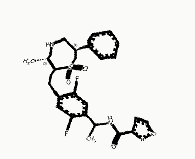 CC(NC(=O)c1ccon1)c1cc(F)c(CC2[C@H](C)NC[C@@H](c3ccccc3)S2(=O)=O)cc1F